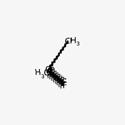 CCCCCCCCC=CCCCCCCCC(=O)OC(C)C(F)(F)C(F)(F)C(F)(F)C(F)(F)C(F)(F)C(F)(F)C(F)(F)C(F)(F)F